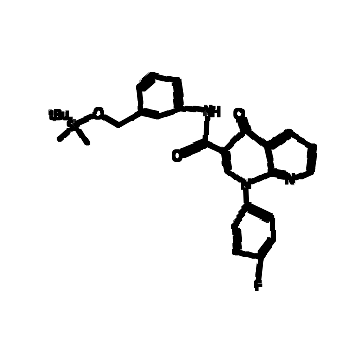 CC(C)(C)[Si](C)(C)OCc1cccc(NC(=O)c2cn(-c3ccc(F)cc3)c3ncccc3c2=O)c1